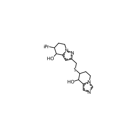 CC(C)C1CCn2nc(CSC3CCn4cncc4C3O)cc2C1O